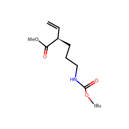 C=C[C@@H](CCCNC(=O)OC(C)(C)C)C(=O)OC